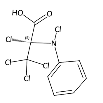 O=C(O)[C@@](Cl)(N(Cl)c1ccccc1)C(Cl)(Cl)Cl